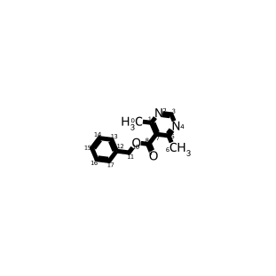 Cc1ncnc(C)c1C(=O)OCc1ccccc1